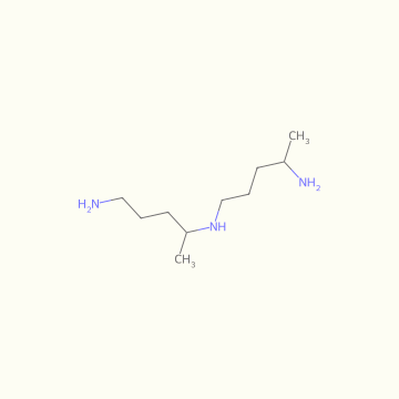 CC(N)CCCNC(C)CCCN